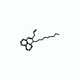 C=CCC1=Cc2cccc3cccc(c23)C1CCCCCCCCC